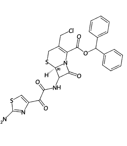 Nc1nc(C(=O)C(=O)NC2C(=O)N3C(C(=O)OC(c4ccccc4)c4ccccc4)=C(CCl)CS[C@H]23)cs1